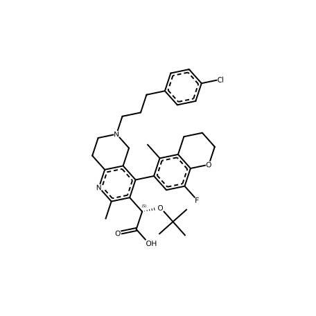 Cc1nc2c(c(-c3cc(F)c4c(c3C)CCCO4)c1[C@H](OC(C)(C)C)C(=O)O)CN(CCCc1ccc(Cl)cc1)CC2